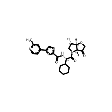 Cc1cc(-c2cnc(C(=O)N[C@H](C(=O)N3C[C@H](Cl)[C@H]4OCC(=O)[C@H]43)C3CCCCC3)s2)ccn1